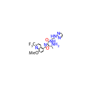 COc1ccc(-c2nc(C(=O)NCCNc3ncccn3)c([C@H](C)N)o2)c2ccc(C(F)(F)F)nc12